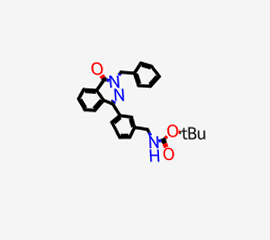 CC(C)(C)OC(=O)NCc1cccc(-c2nn(Cc3ccccc3)c(=O)c3ccccc23)c1